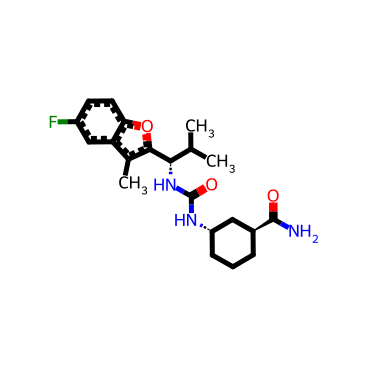 Cc1c([C@@H](NC(=O)N[C@H]2CCC[C@H](C(N)=O)C2)C(C)C)oc2ccc(F)cc12